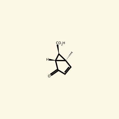 C[C@]12C=CC(=O)[C@@H]1[C@H]2C(=O)O